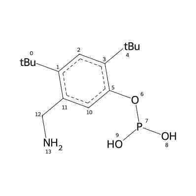 CC(C)(C)c1cc(C(C)(C)C)c(OP(O)O)cc1CN